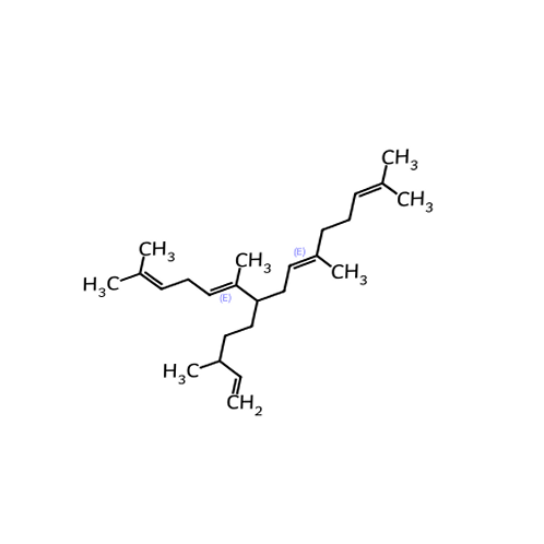 C=CC(C)CCC(C/C=C(\C)CCC=C(C)C)/C(C)=C/CC=C(C)C